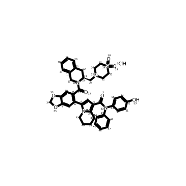 Cl.O=C(c1cc(-c2cc3c(cc2C(=O)N2Cc4ccccc4C[C@H]2CN2CCS(=O)(=O)CC2)OCO3)n2c1CCCC2)N(c1ccccc1)c1ccc(O)cc1